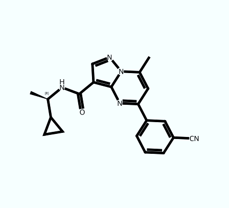 Cc1cc(-c2cccc(C#N)c2)nc2c(C(=O)N[C@H](C)C3CC3)cnn12